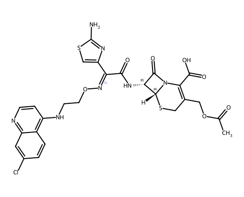 CC(=O)OCC1=C(C(=O)O)N2C(=O)[C@@H](NC(=O)/C(=N/OCCNc3ccnc4cc(Cl)ccc34)c3csc(N)n3)[C@H]2SC1